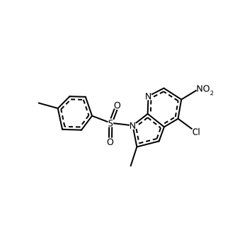 Cc1ccc(S(=O)(=O)n2c(C)cc3c(Cl)c([N+](=O)[O-])cnc32)cc1